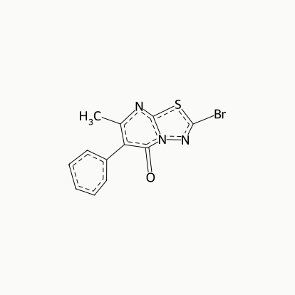 Cc1nc2sc(Br)nn2c(=O)c1-c1ccccc1